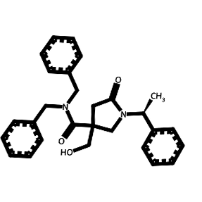 C[C@@H](c1ccccc1)N1CC(CO)(C(=O)N(Cc2ccccc2)Cc2ccccc2)CC1=O